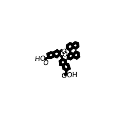 O=C(O)c1ccc2cc(COc3ccc4ccccc4c3-c3c(OCc4ccc5cc(C(=O)O)ccc5c4)ccc4ccccc34)ccc2c1